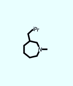 CC(C)CC1CCCCN(C)C1